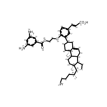 CC(C)CCC[C@@H](C)[C@H]1CCC2C3CC=C4CC(c5cc(C=CC(=O)O)ccc5OCCOC(=O)c5cc(N)cc(N)c5)CC[C@]4(C)C3CC[C@@]21C